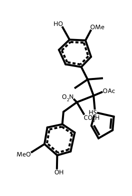 COc1cc(CC(C(=O)O)([N+](=O)[O-])C(OC(C)=O)([SH]2C=CC=C2)C(C)(C)c2ccc(O)c(OC)c2)ccc1O